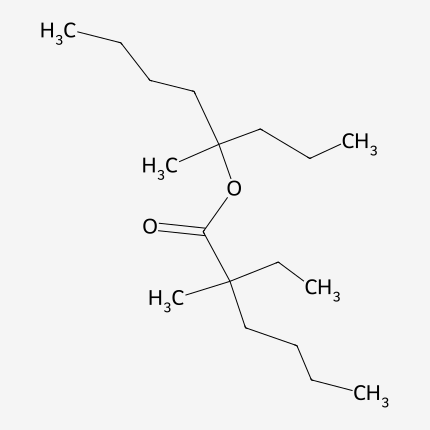 CCCCC(C)(CCC)OC(=O)C(C)(CC)CCCC